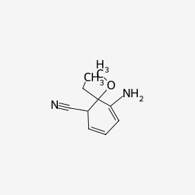 CCC1(OC)C(N)=CC=CC1C#N